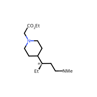 CCOC(=O)CN1CCC([C@H](CC)CCNC)CC1